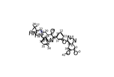 COc1cc2ncnc(Oc3cccc([C@@H](N)C(=O)CC/C(=C/C(=N)C(C)(C)C)Nc4ccc(C)cc4)c3)c2cc1OC